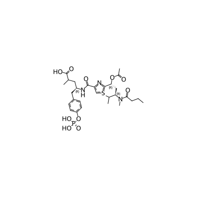 CCCC(=O)N(C)[C@H](C[C@@H](OC(C)=O)c1nc(C(=O)N[C@@H](Cc2ccc(OP(=O)(O)O)cc2)CC(C)C(=O)O)cs1)C(C)C